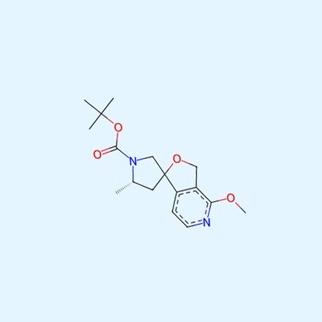 COc1nccc2c1COC21C[C@H](C)N(C(=O)OC(C)(C)C)C1